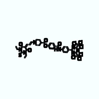 CCN1C(=O)C(=CC=CN2CCC(C(=O)Oc3ccc(C(=O)Nc4ccc(-c5nc(C(Cl)(Cl)Cl)nc(C(Cl)(Cl)Cl)n5)cc4)cc3)CC2)C(=O)N(CC)C1=S